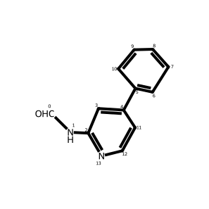 O=CNc1cc(-c2ccccc2)ccn1